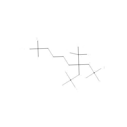 CCCC(C)(C)CC(CCCCC(CC)(CC)C(=O)O)(CC(C)(C)CCC)C(CC)(CC)C(=O)O